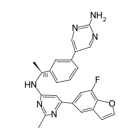 Cc1nc(N[C@@H](C)c2cccc(-c3cnc(N)nc3)c2)cc(-c2cc(F)c3occc3c2)n1